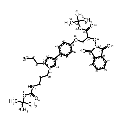 CC(C)(C)OC(=O)NCCCn1cc(-c2ccc(OCC(ON3C(=O)c4ccccc4C3=O)C(=O)OC(C)(C)C)cc2)c[n+]1CCBr